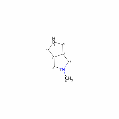 CN1CC2CBCC2C1